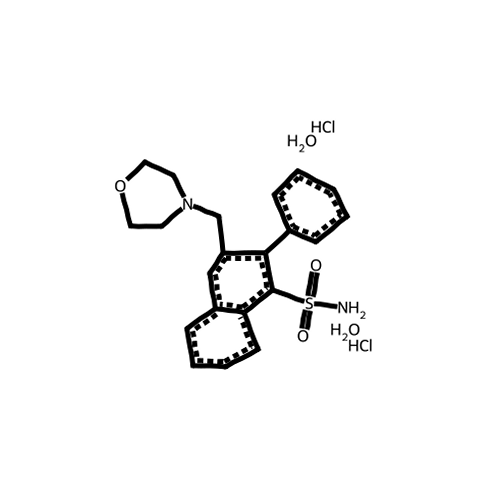 Cl.Cl.NS(=O)(=O)c1c(-c2ccccc2)c(CN2CCOCC2)cc2ccccc12.O.O